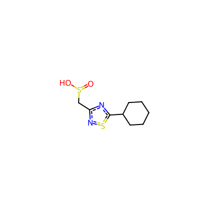 O=S(O)Cc1nsc(C2CCCCC2)n1